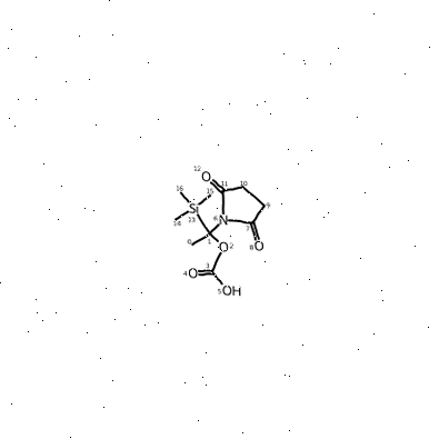 CC(OC(=O)O)(N1C(=O)CCC1=O)[Si](C)(C)C